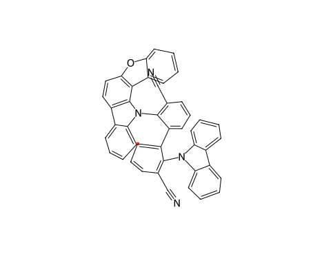 N#Cc1cccc(-c2cccc(C#N)c2-n2c3ccccc3c3ccc4oc5ccccc5c4c32)c1-n1c2ccccc2c2ccccc21